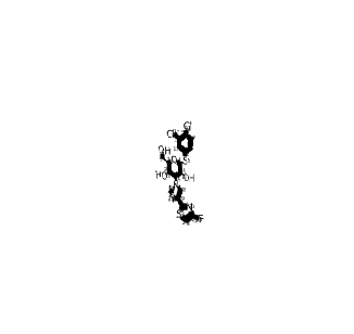 OC[C@H]1O[C@H](Sc2ccc(Cl)c(Cl)c2)[C@H](O)[C@@H](n2cc(-c3nc(F)cs3)nn2)[C@H]1O